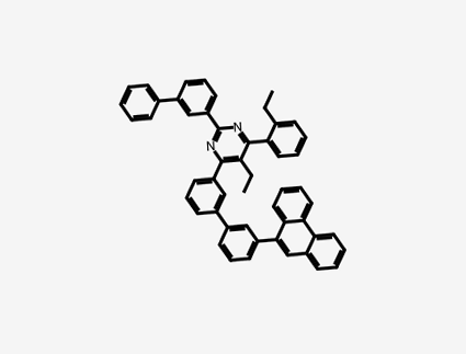 CCc1ccccc1-c1nc(-c2cccc(-c3ccccc3)c2)nc(-c2cccc(-c3cccc(-c4cc5ccccc5c5ccccc45)c3)c2)c1CC